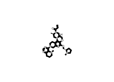 C=CC(=O)N1C[C@@H]2COc3c(OC[C@@H]4CCCN4C)nc4c(c3N2C[C@H]1C)CCN(c1ncnc2c1N(C)CCC2)C4